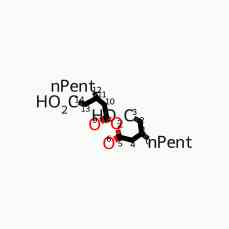 CCCCCC(CC(=O)O)CC(=O)OC(=O)CC(CCCCC)CC(=O)O